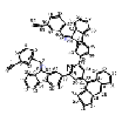 C#Cc1cccc(/C=C2\c3ccccc3-c3ccc(-c4cc(-c5c6ccccc6cc6ccccc56)cc(-c5ccc6c(c5)/C(=C/c5cccc(C#C)c5)c5ccccc5-6)n4)cc32)c1